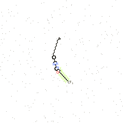 FC1(F)c2nc(-c3ncc(-c4ccc(CCCCCCCCCC5CC5)cc4)cn3)ccc2OC1C(F)(F)C(F)(F)C(F)(F)C(F)(F)C(F)(F)C(F)(F)C(F)(F)F